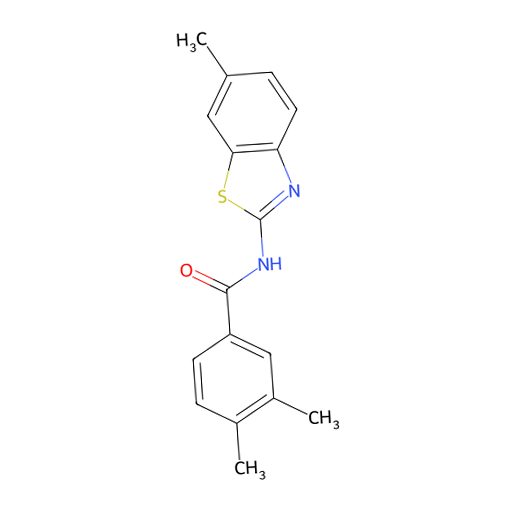 Cc1ccc2nc(NC(=O)c3ccc(C)c(C)c3)sc2c1